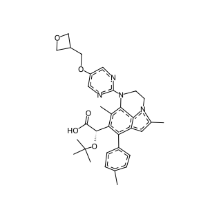 Cc1ccc(-c2c([C@H](OC(C)(C)C)C(=O)O)c(C)c3c4c2cc(C)n4CCN3c2ncc(OCC3COC3)cn2)cc1